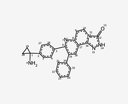 NC1(c2ccc(-c3nc4ccn5c(=O)[nH]nc5c4cc3-c3ccccc3)cc2)CC1